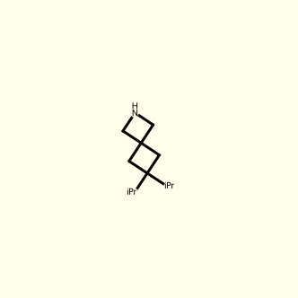 CC(C)C1(C(C)C)CC2(CNC2)C1